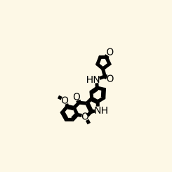 COc1cccc(OC)c1C(=O)c1c(C)[nH]c2ccc(NC(=O)C3CCC(=O)C3)cc12